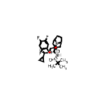 CC(C)(C)[S@+]([O-])N[C@H](Cc1cc(F)c(F)cc1F)C1CC2CCC(C1)N2C(=O)CNC(=O)C1CC1